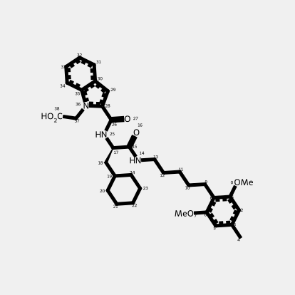 COc1cc(C)cc(OC)c1CCCCCNC(=O)[C@@H](CC1CCCCC1)NC(=O)c1cc2ccccc2n1CC(=O)O